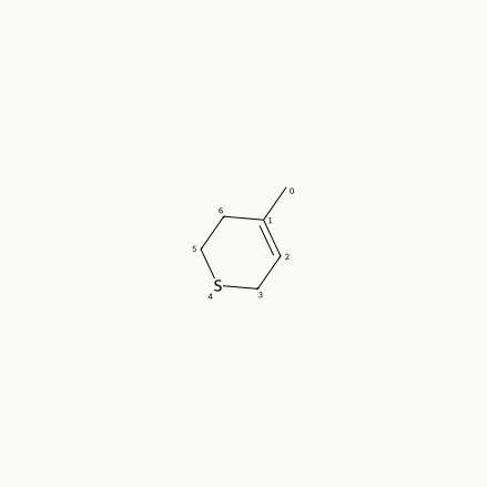 CC1=CCSCC1